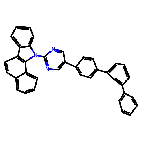 c1ccc(-c2cccc(-c3ccc(-c4cnc(-n5c6ccccc6c6ccc7ccccc7c65)nc4)cc3)c2)cc1